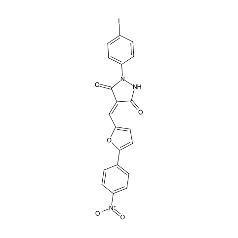 O=C1NN(c2ccc(I)cc2)C(=O)/C1=C/c1ccc(-c2ccc([N+](=O)[O-])cc2)o1